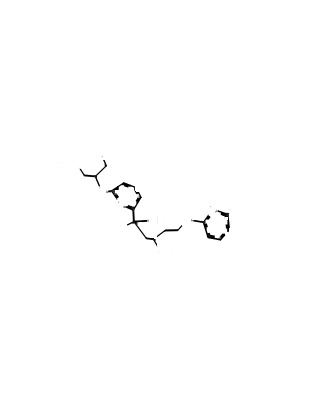 CCC(CC)Oc1cccc(C(C)(C)CC(C)CCOc2cccc(C)n2)n1